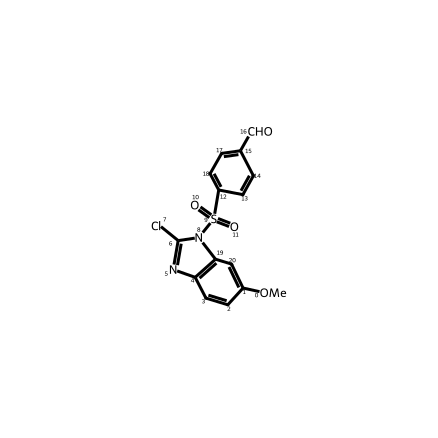 COc1ccc2nc(Cl)n(S(=O)(=O)c3ccc(C=O)cc3)c2c1